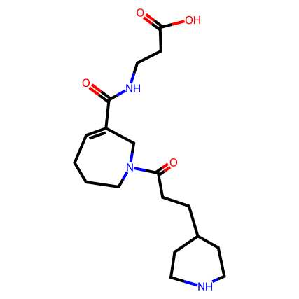 O=C(O)CCNC(=O)C1=CCCCN(C(=O)CCC2CCNCC2)C1